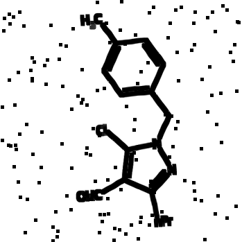 CCCc1nn(Cc2ccc(C)cc2)c(Cl)c1C=O